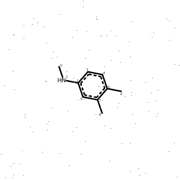 CNc1ccc(C)c(C)c1